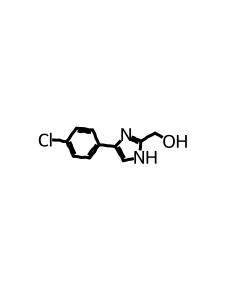 OCc1nc(-c2ccc(Cl)cc2)c[nH]1